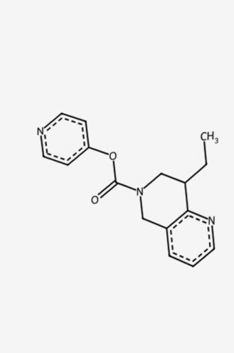 CCC1CN(C(=O)Oc2ccncc2)Cc2cccnc21